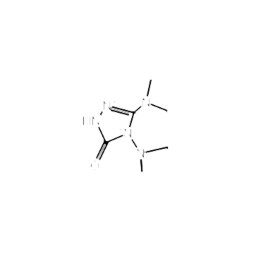 CN(C)c1n[nH]c(=O)n1N(C)C